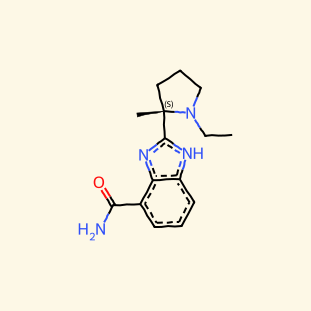 CCN1CCC[C@@]1(C)c1nc2c(C(N)=O)cccc2[nH]1